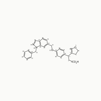 O=C(O)CC(C1=NOCC1)c1ccc(OCc2ccc3cnn(Cc4ccccc4)c3c2)cc1